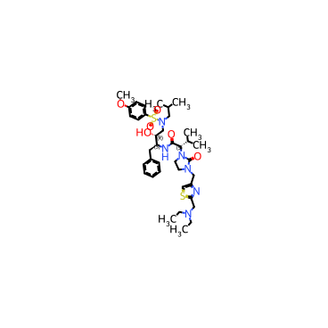 CCN(CC)Cc1nc(CN2CCN([C@H](C(=O)N[C@@H](Cc3ccccc3)[C@H](O)CN(CC(C)C)S(=O)(=O)c3ccc(OC)cc3)C(C)C)C2=O)cs1